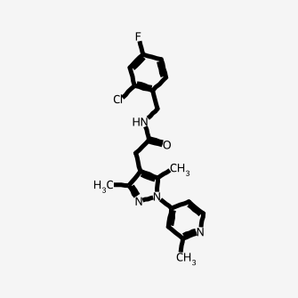 Cc1cc(-n2nc(C)c(CC(=O)NCc3ccc(F)cc3Cl)c2C)ccn1